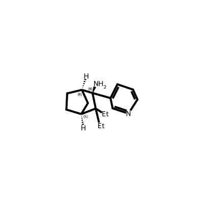 CCC1(CC)[C@H]2CC[C@H](C2)[C@]1(N)c1cccnc1